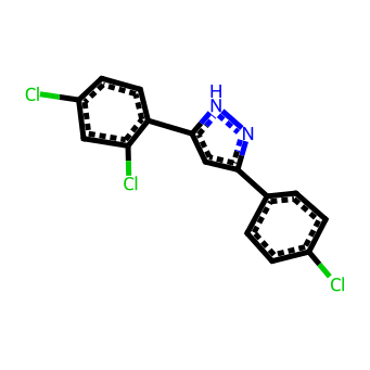 Clc1ccc(-c2cc(-c3ccc(Cl)cc3Cl)[nH]n2)cc1